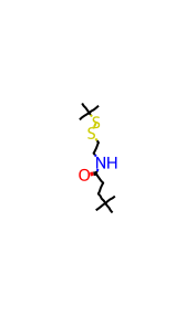 CC(C)(C)CCC(=O)NCCSSC(C)(C)C